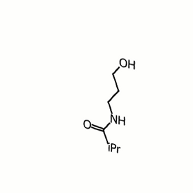 CC(C)C(=O)NCCCO